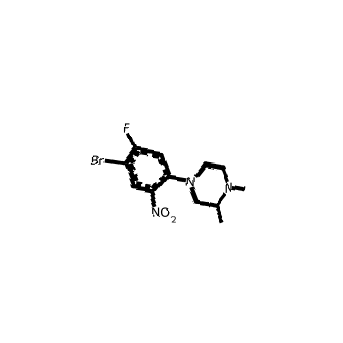 CC1CN(c2cc(F)c(Br)cc2[N+](=O)[O-])CCN1C